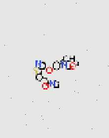 CC[C@]1(N2CCOCC2)CC[C@H](Oc2ccnc3sc4c(c23)[C@@H](CC(=O)N2CCCC2)CC4)CC1